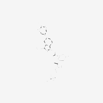 CC(=O)c1nn(CC(=O)N2C[C@H](F)C[C@H]2C(=O)NCC[C@@H]2CC2(Cl)Cl)c2ccc(-c3cnc(C)nc3)cc12